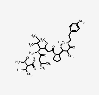 CCC(C)C(C(CC(=O)N1CCCC1C(OC)C(C)C(=O)NCCc1ccc(N)cc1)OC)N(C)C(=O)[C@@H](NC(=O)C(C(C)C)N(C)C)C(C)C